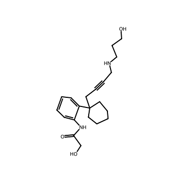 O=C(CO)Nc1ccccc1C1(CC#CCNCCCO)CCCCC1